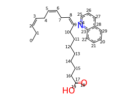 CC/C=C\C/C=C\C/C=C\CCCCCCCC(=O)O.c1ccc2ncccc2c1